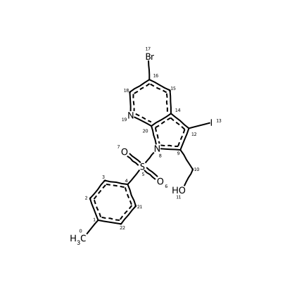 Cc1ccc(S(=O)(=O)n2c(CO)c(I)c3cc(Br)cnc32)cc1